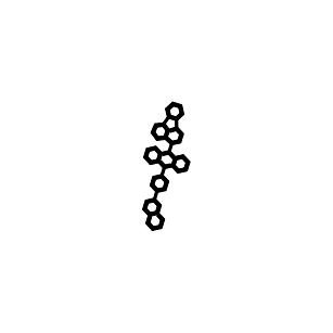 c1ccc2c(c1)-c1cccc3c(-c4c5ccccc5c(-c5ccc(-c6ccc7ccccc7c6)cc5)c5ccccc45)ccc-2c13